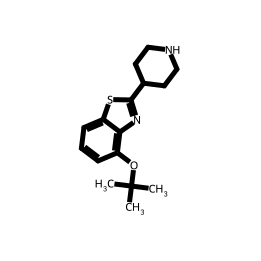 CC(C)(C)Oc1cccc2sc(C3CCNCC3)nc12